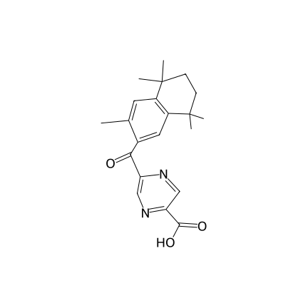 Cc1cc2c(cc1C(=O)c1cnc(C(=O)O)cn1)C(C)(C)CCC2(C)C